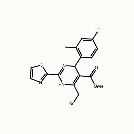 COC(=O)C1=C(CBr)NC(c2nccs2)=NC1c1ccc(F)cc1C